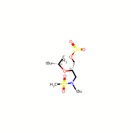 C[C@H](O[C@H](CO[SH](=O)=O)CN(C(C)(C)C)S(C)(=O)=O)C(C)(C)C